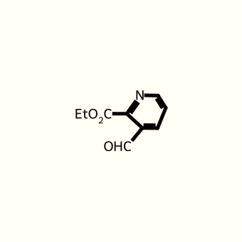 CCOC(=O)c1ncccc1C=O